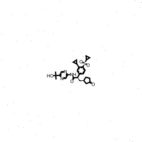 CC(C)(O)c1cnc(NC(=O)[C@H](C[C@H]2CCC(=O)C2)c2ccc(S(=O)(=O)C3CC3)c(C3CC3)c2)cn1